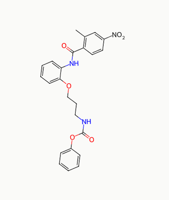 Cc1cc([N+](=O)[O-])ccc1C(=O)Nc1ccccc1OCCCNC(=O)Oc1ccccc1